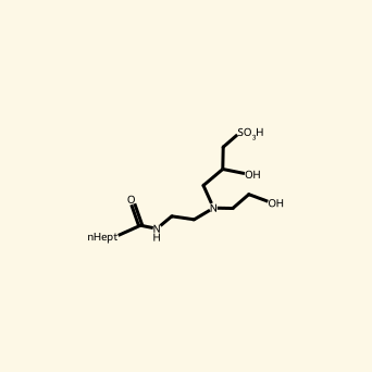 CCCCCCCC(=O)NCCN(CCO)CC(O)CS(=O)(=O)O